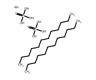 CCCCCCCCCCCC.CCCCCCCCCCCC.OP(O)(O)=S.OP(O)(O)=S.[KH]